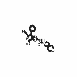 COc1nc(C#N)c(-c2ccccc2)c2sc(NC(=O)N3CCC4(CCOCC4)C3)nc12